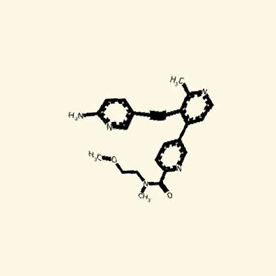 COCCN(C)C(=O)c1ccc(-c2ccnc(C)c2C#Cc2ccc(N)nc2)cn1